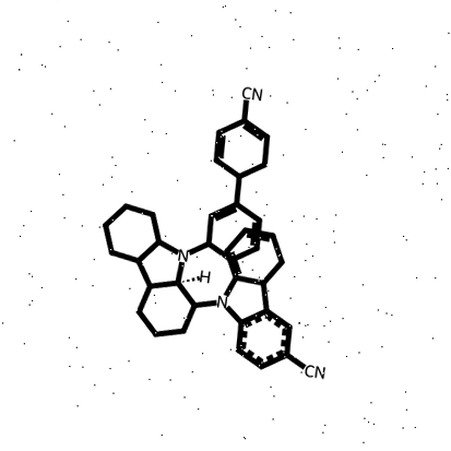 N#CC1=CCC(C2=CC(N3C4CCCCC4C4CCCC(N5C6=CC=CCC6c6cc(C#N)ccc65)[C@@H]43)CC=C2)C=C1